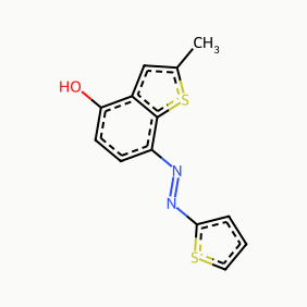 Cc1cc2c(O)ccc(/N=N/c3cccs3)c2s1